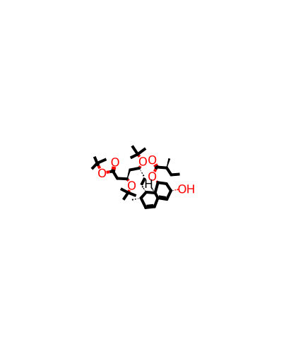 CC[C@H](C)C(=O)O[C@H]1C[C@H](O)C=C2C=C[C@H](C)[C@H](CC[C@H](C[C@H](CC(=O)OC(C)(C)C)OC(C)(C)C)OC(C)(C)C)[C@H]21